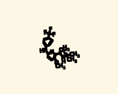 COc1ccc(Nc2ccc(C(F)(F)F)cc2)nc1C(=O)NC(C)(C)C